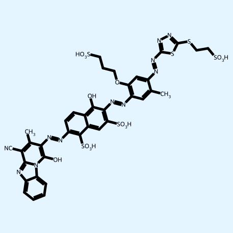 Cc1cc(N=Nc2c(S(=O)(=O)O)cc3c(S(=O)(=O)O)c(N=Nc4c(C)c(C#N)c5nc6ccccc6n5c4O)ccc3c2O)c(OCCCS(=O)(=O)O)cc1N=Nc1nnc(SCCS(=O)(=O)O)s1